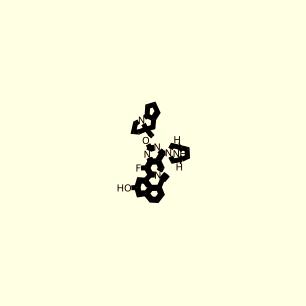 C#Cc1cccc2cc(O)cc(-c3ncc4c(N5C[C@H]6CC[C@@H](C5)N6)nc(OCC56CCCN5C5CCC=C5C6)nc4c3F)c12